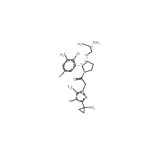 Cc1cc(F)cc([C@@H]2[C@H](OC[C@@H](C)N)CCN2C(=O)Cn2nc(C3(C)CC3)c(Cl)c2C(F)(F)F)c1Cl